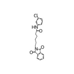 O=C(CCCCCN1C(=O)c2ccccc2C1=O)Nc1cccc(Cl)c1